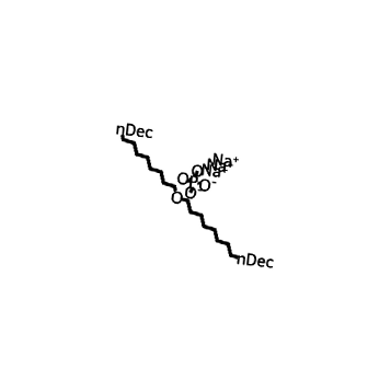 CCCCCCCCCCCCCCCCCCOCCCCCCCCCCCCCCCCCC.O=P([O-])([O-])[O-].[Na+].[Na+].[Na+]